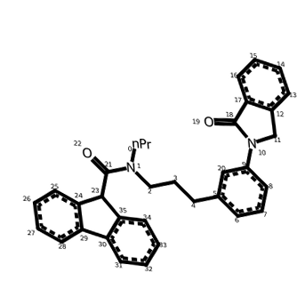 CCCN(CCCc1cccc(N2Cc3ccccc3C2=O)c1)C(=O)C1c2ccccc2-c2ccccc21